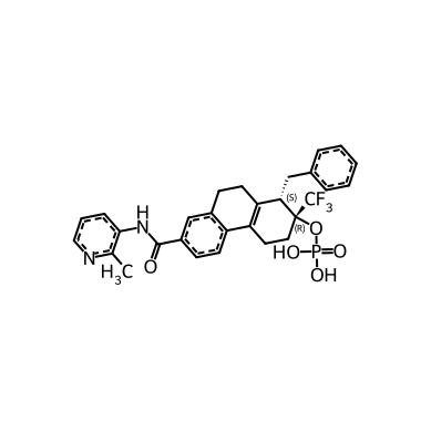 Cc1ncccc1NC(=O)c1ccc2c(c1)CCC1=C2CC[C@](OP(=O)(O)O)(C(F)(F)F)[C@H]1Cc1ccccc1